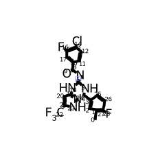 Cc1cc(CN/C(=N/C(=O)c2ccc(Cl)c(F)c2)Nc2cc(C(F)(F)F)[nH]n2)ccc1F